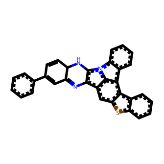 C1=CC2Nc3c(c4cc5sc6ccccc6c5c5c6ccccc6n3c45)N=C2C=C1c1ccccc1